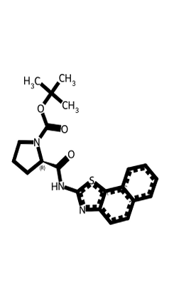 CC(C)(C)OC(=O)N1CCC[C@@H]1C(=O)Nc1nc2ccc3ccccc3c2s1